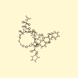 O=C(N[C@H]1COCCC/C=C\[C@@H]2C[C@@]2(C(=O)NS(=O)(=O)C2CC2)NC(=O)[C@@H]2C[C@@H](Oc3c4cc(F)ccc4nc4c3oc3ccccc34)CN2C1=O)OC1CCCC1